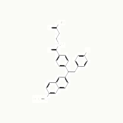 COc1ccc2cc(C(Cc3ccc(Cl)cc3)c3ccc(C(=O)NCCC(=O)O)cc3)ccc2c1